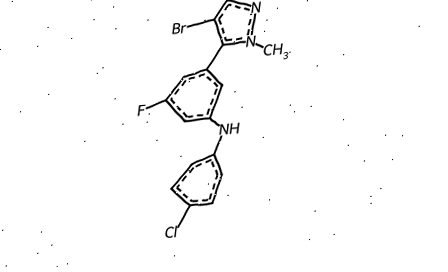 Cn1ncc(Br)c1-c1cc(F)cc(Nc2ccc(Cl)cc2)c1